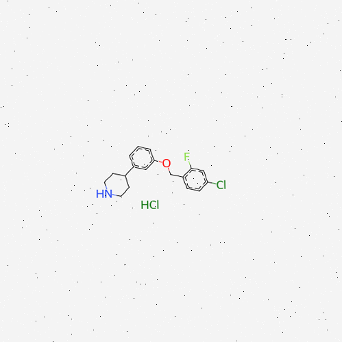 Cl.Fc1cc(Cl)ccc1COc1cccc(C2CCNCC2)c1